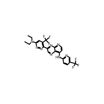 CCN(CC)c1cc(C(F)(F)F)c(-c2cnc3c(Nc4ccc(C(F)(F)F)cn4)ccnc3n2)nn1